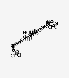 CN1Cc2c(Cl)cc(Cl)cc2[C@H](c2cccc(-c3cn(CCOCCOCCOCCNC(=O)NCCOCCOCCNC(=O)NCCOCCOCCOCCn4cc(-c5cccc([C@@H]6CN(C)Cc7c(Cl)cc(Cl)cc76)c5)nn4)nn3)c2)C1.Cl